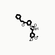 COc1ccc(-c2cn(-c3cccc(C(=O)C=Cc4ccccc4)c3)c(=O)[nH]2)cc1OC